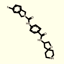 O=C(NC1COC2(CCNCC2)C1)c1ccc(NC(=O)N2Cc3ccc(F)cc3C2)cc1